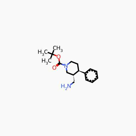 CC(C)(C)OC(=O)N1CC[C@@H](c2ccccc2)[C@H](CN)C1